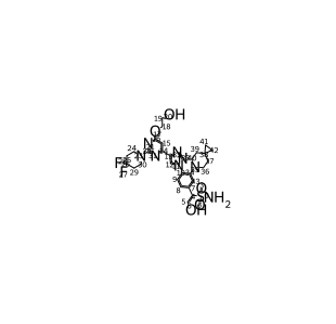 NS(=O)(=O)C(=CO)c1ccc(-n2cc(-c3cc(OCCO)nc(N4CCC(F)(F)CC4)n3)nn2)c(N2CCC3(CC2)CC3)c1